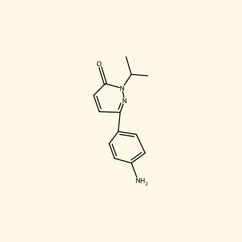 CC(C)n1nc(-c2ccc(N)cc2)ccc1=O